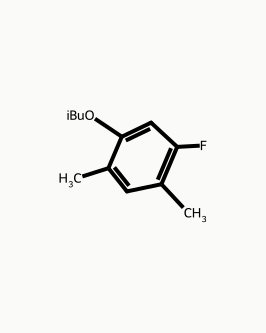 Cc1cc(C)c(OCC(C)C)cc1F